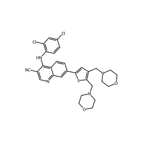 N#Cc1cnc2cc(-c3cc(CN4CCOCC4)c(CN4CCOCC4)s3)ccc2c1Nc1ccc(Cl)cc1Cl